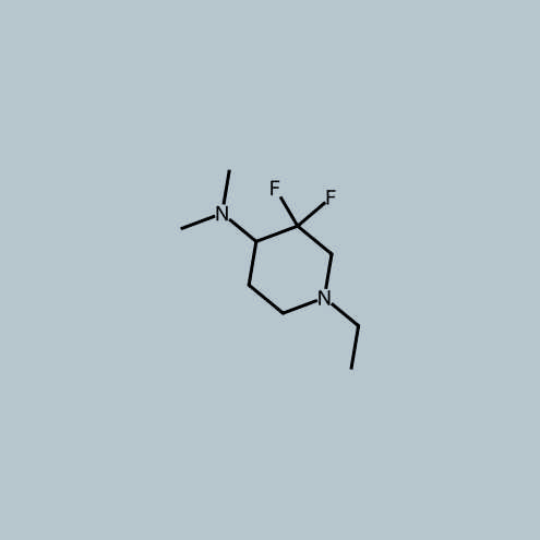 CCN1CCC(N(C)C)C(F)(F)C1